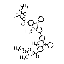 C=C(COC(=O)c1ccc(N(c2ccccc2)c2ccc(-c3ccc(N(c4ccccc4)c4ccc(C(=O)OCC(=C)C(=O)OCC)cc4)c(OC)c3)cc2C)cc1)C(=O)OCC